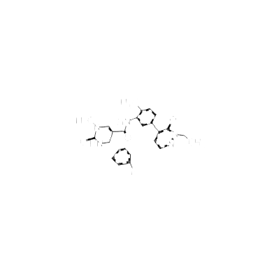 CCn1nccc(-c2ccc(C)c(NC(=O)C3=CN(C)C(=O)N[C@H]3c3ccc(F)cc3)c2)c1=O